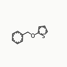 c1ccc(COc2cccs2)cc1